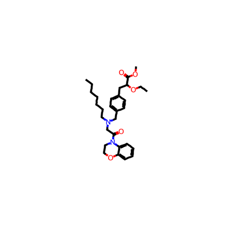 CCCCCCCN(CC(=O)N1CCOc2ccccc21)Cc1ccc(CC(OCC)C(=O)OC)cc1